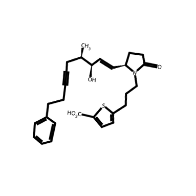 C[C@H](CC#CCCc1ccccc1)[C@H](O)C=C[C@H]1CCC(=O)N1CCCc1ccc(C(=O)O)s1